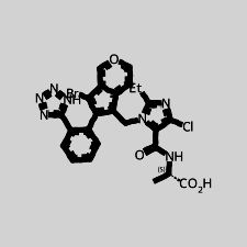 CCc1nc(Cl)c(C(=O)N[C@@H](C)C(=O)O)n1Cc1c2ccocc-2c(Br)c1-c1ccccc1-c1nnn[nH]1